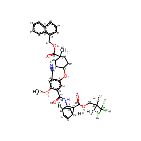 COc1cc(C#N)c(OC2CCC(C)(C(=O)OCc3cccc4ccccc34)CC2)cc1C(=O)N[C@H]1[C@@H](C(=O)OCC(C)(C)C(F)(F)F)[C@H]2C=C[C@@H]1C2